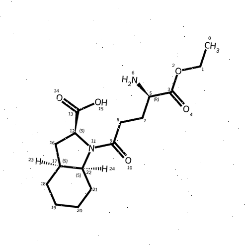 CCOC(=O)[C@H](N)CCC(=O)N1[C@H](C(=O)O)C[C@@H]2CCCC[C@@H]21